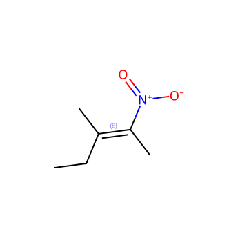 CC/C(C)=C(\C)[N+](=O)[O-]